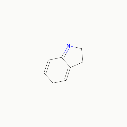 C1=CC2=NCCC2=CC1